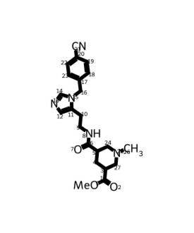 COC(=O)C1CC(C(=O)NCCc2cncn2Cc2ccc(C#N)cc2)CN(C)C1